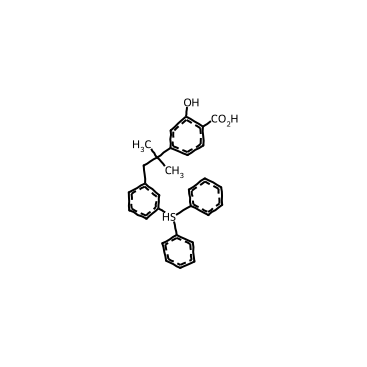 CC(C)(Cc1cccc([SH](c2ccccc2)c2ccccc2)c1)c1ccc(C(=O)O)c(O)c1